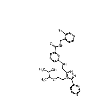 CCc1cnccc1CNC(=O)c1cccc(NCc2nnc(-c3ccncn3)n2CCOC(C)C(C)O)c1